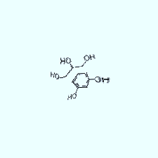 OCC(O)CO.Oc1cccc(O)c1